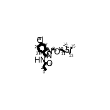 C=CC(=O)Nc1nn(COCC[Si](C)(C)C)c2cc(Cl)ccc12